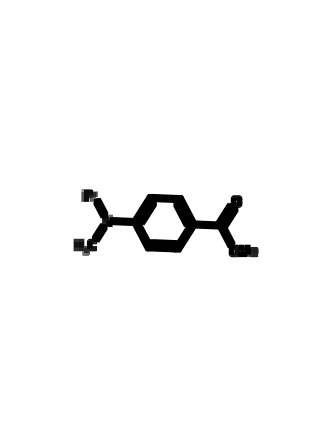 COC(=O)c1ccc(N(C)C(C)C)cc1